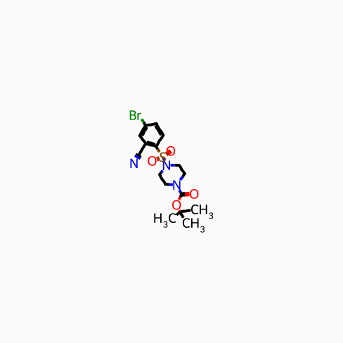 CC(C)(C)OC(=O)N1CCN(S(=O)(=O)c2ccc(Br)cc2C#N)CC1